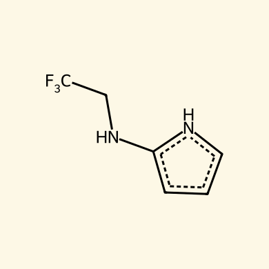 FC(F)(F)CNc1ccc[nH]1